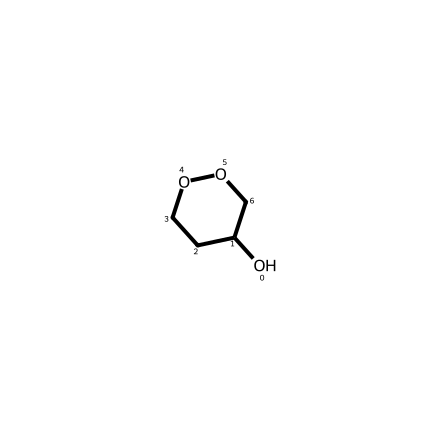 OC1CCOOC1